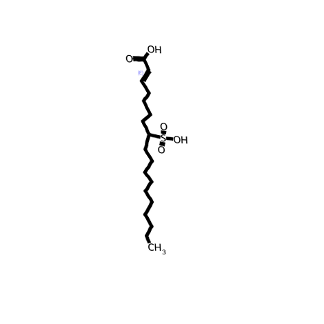 CCCCCCCCCCC(CCCC/C=C/C(=O)O)S(=O)(=O)O